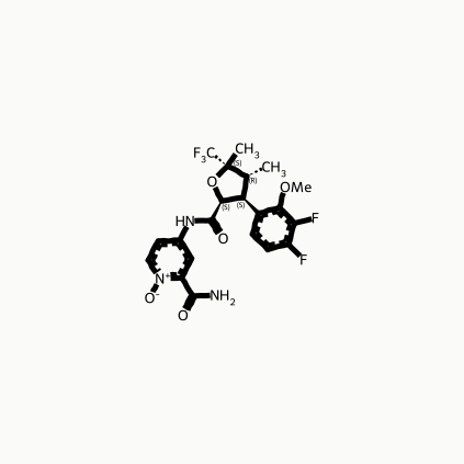 COc1c([C@H]2[C@@H](C(=O)Nc3cc[n+]([O-])c(C(N)=O)c3)O[C@](C)(C(F)(F)F)[C@@H]2C)ccc(F)c1F